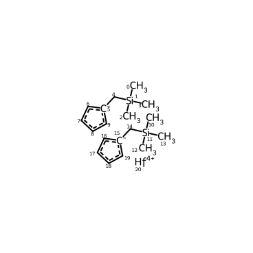 C[Si](C)(C)C[c-]1cccc1.C[Si](C)(C)C[c-]1cccc1.[Hf+4]